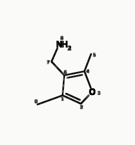 Cc1coc(C)c1CN